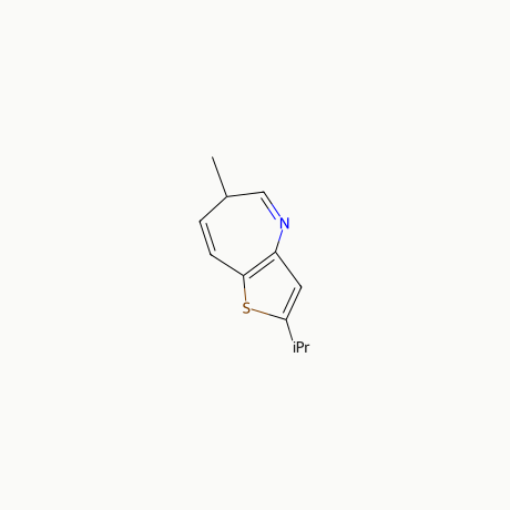 CC1C=Cc2sc(C(C)C)cc2N=C1